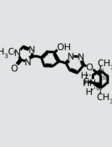 Cn1cnc(-c2ccc(-c3ccc(O[C@@H]4[C@H](F)[C@@]5(C)CC[C@]4(C)CN5)nn3)c(O)c2)nc1=O